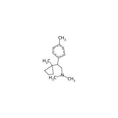 Cc1ccc(C(CN(C)C)C2(C)CCC2)cc1